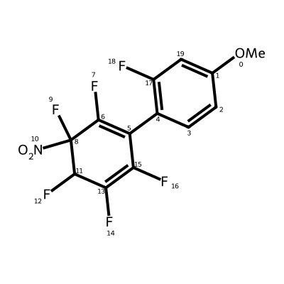 COc1ccc(C2=C(F)C(F)([N+](=O)[O-])C(F)C(F)=C2F)c(F)c1